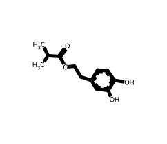 CC(C)C(=O)OCCc1ccc(O)c(O)c1